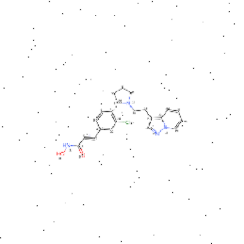 O=C(/C=C/c1ccc([C@@H]2CCCN2CCc2cnn3ccccc23)c(Cl)c1)NO